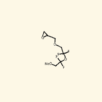 COCC(F)(F)OC(F)(F)COCC1CO1